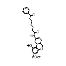 CCCCCCCCc1cc(O)c2c(c1)OCC1CC=C(NC(=O)CCCCCC(=O)c3ccccc3)CC21